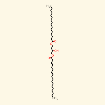 CCCCCCCCCCC=CCCC=CCC(=O)OCC(O)CCOC(=O)CCCCCCCCCCCCCCC